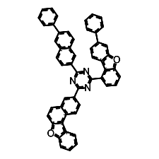 c1ccc(-c2ccc3cc(-c4nc(-c5ccc6c(ccc7oc8ccccc8c76)c5)nc(-c5cccc6oc7cc(-c8ccccc8)ccc7c56)n4)ccc3c2)cc1